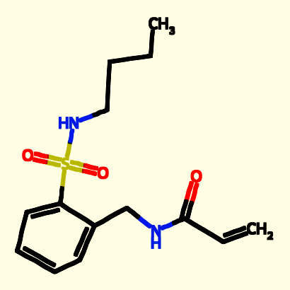 C=CC(=O)NCc1ccccc1S(=O)(=O)NCCCC